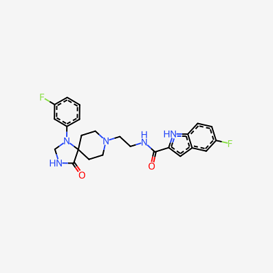 O=C(NCCN1CCC2(CC1)C(=O)NCN2c1cccc(F)c1)c1cc2cc(F)ccc2[nH]1